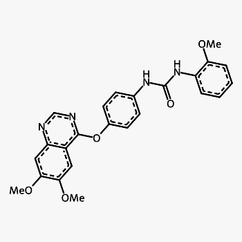 COc1ccccc1NC(=O)Nc1ccc(Oc2ncnc3cc(OC)c(OC)cc23)cc1